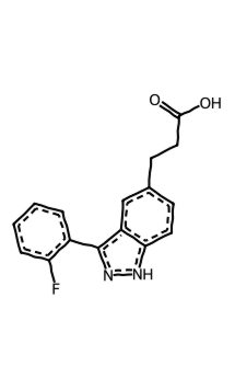 O=C(O)CCc1ccc2[nH]nc(-c3ccccc3F)c2c1